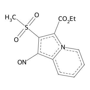 CCOC(=O)c1c(S(C)(=O)=O)c(N=O)c2ccccn12